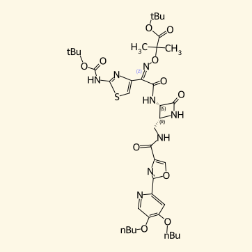 CCCCOc1cnc(-c2nc(C(=O)NC[C@H]3NC(=O)[C@H]3NC(=O)/C(=N\OC(C)(C)C(=O)OC(C)(C)C)c3csc(NC(=O)OC(C)(C)C)n3)co2)cc1OCCCC